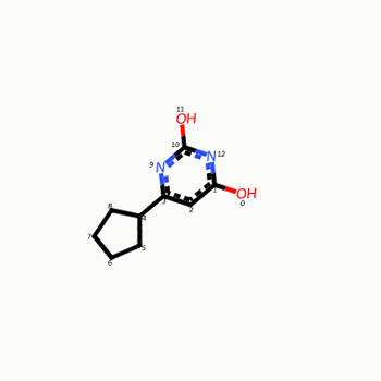 Oc1cc(C2CCCC2)nc(O)n1